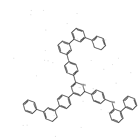 C1=CCCC(c2cccc(-c3cccc(-c4ccc(C5=CC(c6ccc(C7=CC(c8ccccc8)=CCC7)cc6)=CC(c6ccc(Nc7ccccc7-c7ccccc7)cc6)N5)cc4)c3)c2)=C1